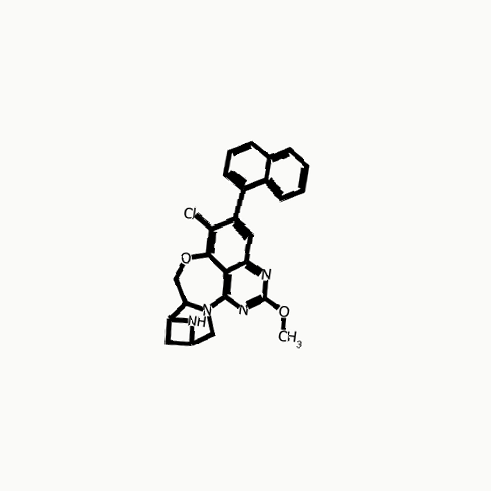 COc1nc2c3c(c(Cl)c(-c4cccc5ccccc45)cc3n1)OCC1C3CC(CN21)N3